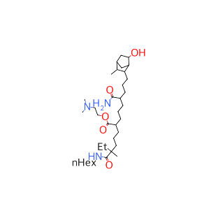 CCCCCCNC(=O)C(C)(CC)CCCC(CCCC(CCCC1C(C)C2CC(O)C1C2)C(N)=O)C(=O)OCCN(C)C